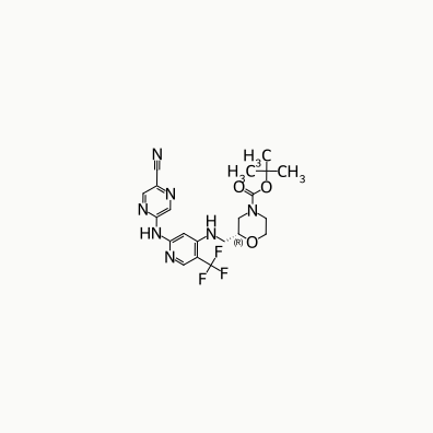 CC(C)(C)OC(=O)N1CCO[C@H](CNc2cc(Nc3cnc(C#N)cn3)ncc2C(F)(F)F)C1